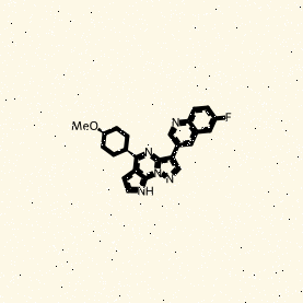 CO[C@H]1CC[C@@H](c2nc3c(-c4cnc5ccc(F)cc5c4)cnn3c3[nH]ccc32)CC1